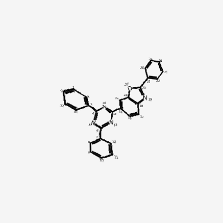 c1ccc(-c2nc(-c3ccccc3)nc(-c3ccc4nc(-c5ccccc5)oc4c3)n2)cc1